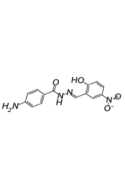 Nc1ccc(C(=O)NN=Cc2cc([N+](=O)[O-])ccc2O)cc1